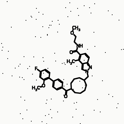 COCCNC(=O)c1ccc2nn(CC3CCCCC(C(=O)c4ccc(-c5ccc(F)cc5OC)cc4)CCC3)cc2c1C